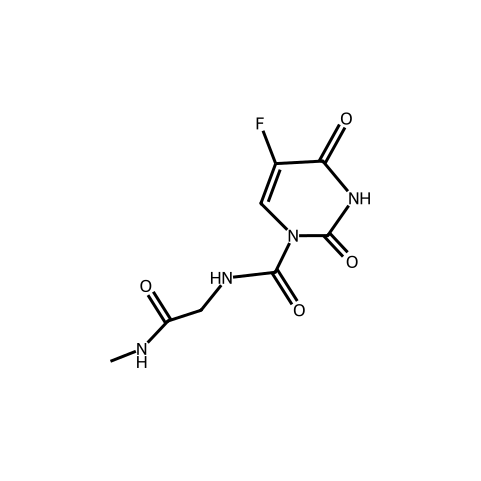 CNC(=O)CNC(=O)n1cc(F)c(=O)[nH]c1=O